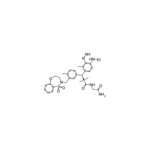 CCNc1ccc([C@H](c2ccc(C)c(CN3CCOc4ccccc4S3(=O)=O)c2)C(C)(C)C(=O)NCC(N)=O)c(C)c1N=N